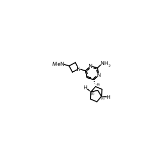 CNC1CN(c2cc([C@@H]3C[C@@H]4CC[C@H]3C4)nc(N)n2)C1